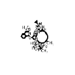 COc1cc2ccccc2c(O[C@@H]2C[C@H]3C(=O)N[C@]4(C(=O)NS(=O)(=O)C5CC5)C[C@H]4C=CCC[C@@H](C)C[C@@H](C)[C@H](N(C(=O)O)C(C)(C)C(C)(F)F)C(=O)N3C2)n1